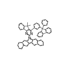 CC1(C)c2ccccc2-c2nc(-n3c4cc5ccccc5cc4c4cc5ccccc5cc43)nc(-c3cccc(C4(c5ccccc5)c5ccccc5-c5ccccc54)c3)c21